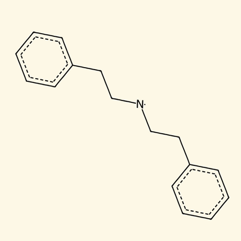 c1ccc(CC[N]CCc2ccccc2)cc1